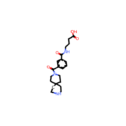 O=C(O)CCCNC(=O)c1cccc(C(=O)N2CCC3(CCNCC3)CC2)c1